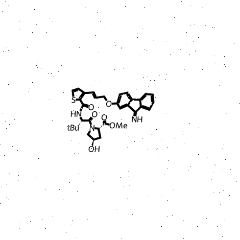 COC(=O)[C@@H]1C[C@@H](O)CN1C(=O)[C@@H](NC(=O)c1sccc1/C=C/COc1ccc2c(c1)C(=N)c1ccccc1-2)C(C)(C)C